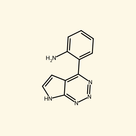 Nc1ccccc1-c1nnnc2[nH]ccc12